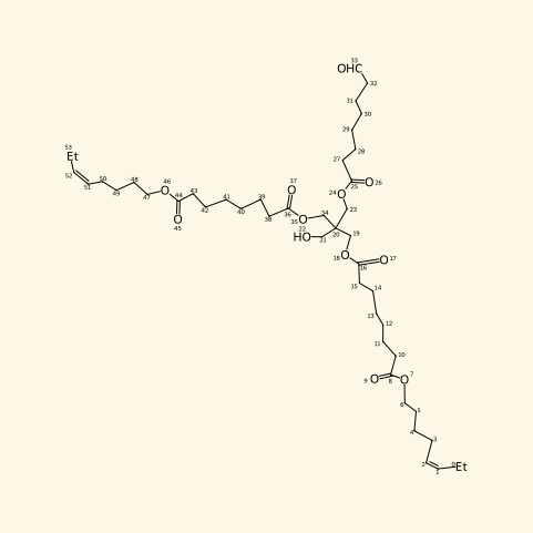 CC/C=C\CCCCOC(=O)CCCCCCC(=O)OCC(CO)(COC(=O)CCCCCCC=O)COC(=O)CCCCCCC(=O)OCCCC/C=C\CC